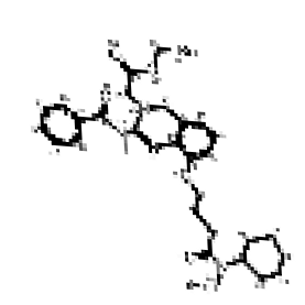 CCCCCCN(C(=O)CCCOc1cccc2c1N=C(NC(=O)c1ccccc1)N(CC(=O)OCC(C)(C)C)C2)C1CCCCC1